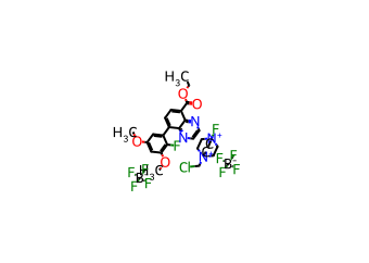 CCOC(=O)c1ccc(-c2cc(OC)cc(OC)c2F)c2nccnc12.F[B-](F)(F)F.F[B-](F)(F)F.F[N+]12CC[N+](CCl)(CC1)CC2